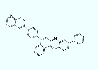 c1ccc(-c2ccc3cc4c(cc(-c5ccc(-c6ccc7ncccc7c6)cc5)c5ccccc54)nc3c2)cc1